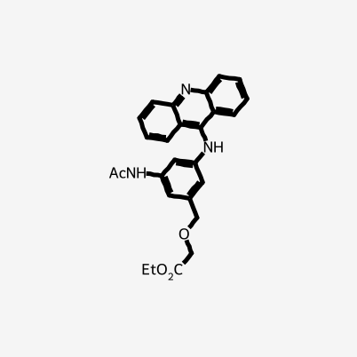 CCOC(=O)COCc1cc(NC(C)=O)cc(Nc2c3ccccc3nc3ccccc23)c1